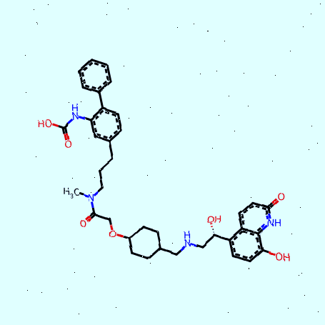 CN(CCCc1ccc(-c2ccccc2)c(NC(=O)O)c1)C(=O)COC1CCC(CNC[C@H](O)c2ccc(O)c3[nH]c(=O)ccc23)CC1